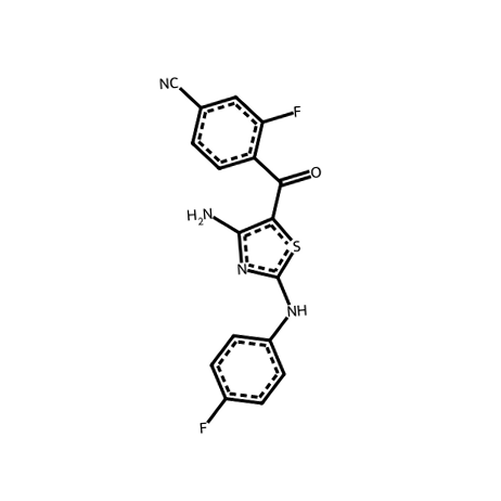 N#Cc1ccc(C(=O)c2sc(Nc3ccc(F)cc3)nc2N)c(F)c1